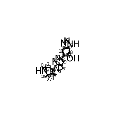 CC1(C)C[C@H](N2CCc3cc(-c4cc5nn[nH]c5cc4O)nnc32)[C@H](F)C(C)(C)N1